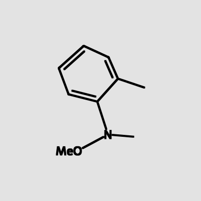 CON(C)c1ccccc1C